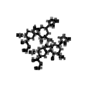 C[C@@H]1Cc2nn3c(c2CN1C(=O)OC(C)(C)C)C(=O)N(C)CC(c1cc[nH]n1)C3.C[C@@H]1Cc2nn3c(c2CN1C(=O)OC(C)(C)C)C(=O)N(C)C[C@H](c1cc[nH]n1)C3